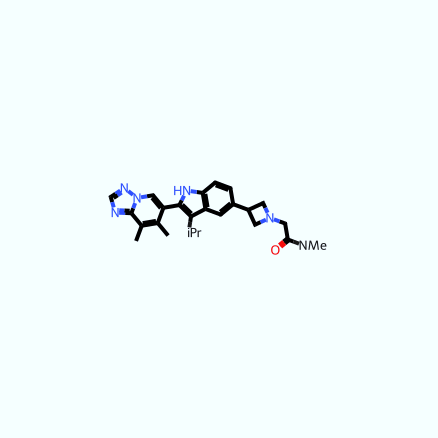 CNC(=O)CN1CC(c2ccc3[nH]c(-c4cn5ncnc5c(C)c4C)c(C(C)C)c3c2)C1